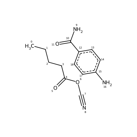 CCCCC(=O)OC#N.NC(=O)c1ccc(N)cc1